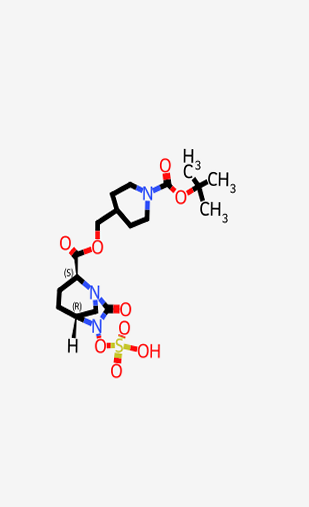 CC(C)(C)OC(=O)N1CCC(COC(=O)[C@@H]2CC[C@@H]3CN2C(=O)N3OS(=O)(=O)O)CC1